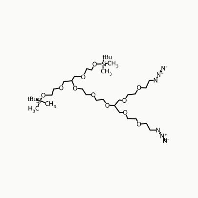 CC(C)(C)[Si](C)(C)OCCOCC(COCCO[Si](C)(C)C(C)(C)C)OCCOCCOC(COCCOCCN=[N+]=[N-])COCCOCCN=[N+]=[N-]